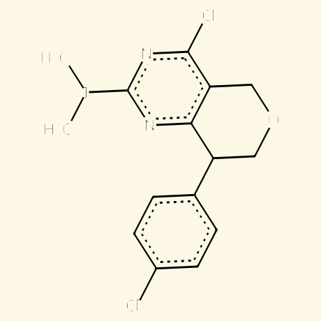 CI(C)c1nc(Cl)c2c(n1)C(c1ccc(Cl)cc1)COC2